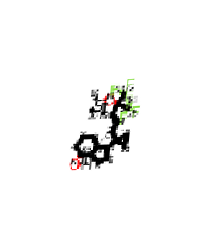 C[C@@]12CCCC(=O)[C@@H]1CC=C2C1(C/C=C/C(O[Si](C)(C)C)(C(F)(F)F)C(F)(F)F)CC1